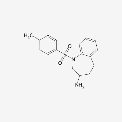 Cc1ccc(S(=O)(=O)N2CC(N)CCc3ccccc32)cc1